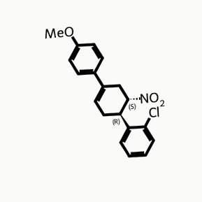 COc1ccc(C2=CC[C@H](c3ccccc3Cl)[C@@H]([N+](=O)[O-])C2)cc1